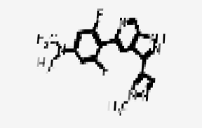 CN(C)c1cc(F)c(-c2cc3c(-c4cnn(C)c4)n[nH]c3cn2)c(F)c1